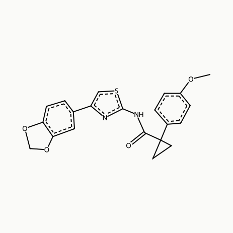 COc1ccc(C2(C(=O)Nc3nc(-c4ccc5c(c4)OCO5)cs3)CC2)cc1